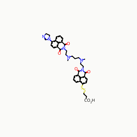 CN(CCCN(C)CCN1C(=O)c2cccc3c(N4C=NCC4)ccc(c23)C1=O)CCN1C(=O)c2cccc3c(SSCCC(=O)O)ccc(c23)C1=O